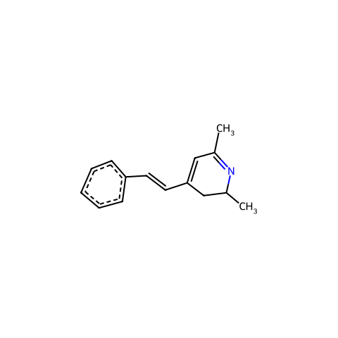 CC1=NC(C)CC(/C=C/c2ccccc2)=C1